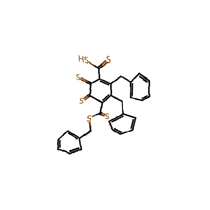 S=C(S)C1=C(Cc2ccccc2)C(Cc2ccccc2)=C(C(=S)SCc2ccccc2)C(=S)C1=S